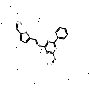 C=Cc1ccc(C=Nc2nc(N=C)nc(-c3ccccc3)n2)s1